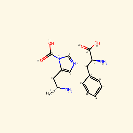 C[C@@H](N)Cc1cncn1C(=O)O.N[C@@H](Cc1ccccc1)C(=O)O